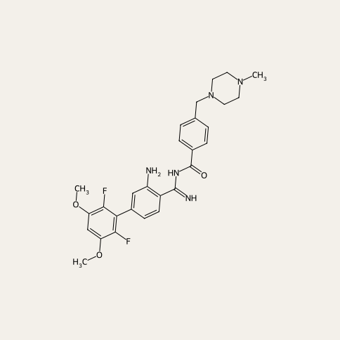 COc1cc(OC)c(F)c(-c2ccc(C(=N)NC(=O)c3ccc(CN4CCN(C)CC4)cc3)c(N)c2)c1F